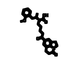 COc1ccccc1CC(C)N(CCCCC(=O)c1cc2c3c(c1)CCN3C(=O)CC2)C(=O)O